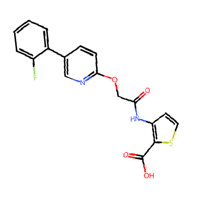 O=C(COc1ccc(-c2ccccc2F)cn1)Nc1ccsc1C(=O)O